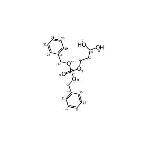 O=P(OCCC(O)O)(OCc1ccccc1)OCc1ccccc1